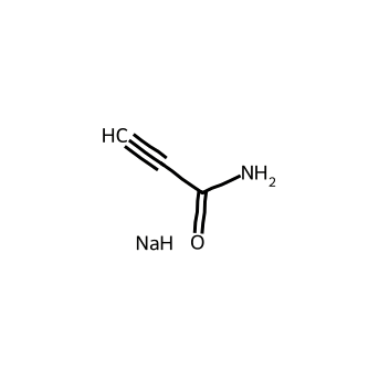 C#CC(N)=O.[NaH]